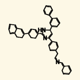 C1=CC/C(=C\N=C/Cc2ccc(C3=CC(c4cccc(-c5ccccc5)c4)NC(C4=CC=C(C5=Cc6ccccc6CC5)CC4)=N3)cc2)C=C1